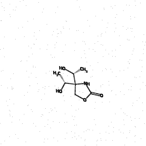 C[C@@H](O)C1([C@@H](C)O)COC(=O)N1